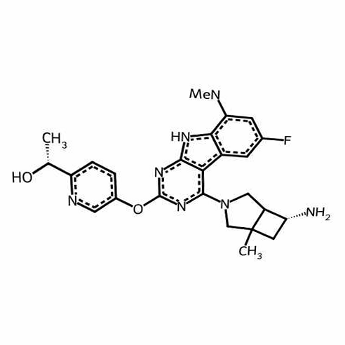 CNc1cc(F)cc2c1[nH]c1nc(Oc3ccc([C@@H](C)O)nc3)nc(N3CC4[C@H](N)CC4(C)C3)c12